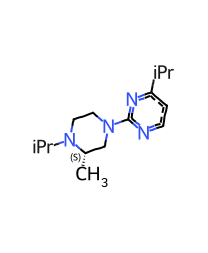 CC(C)c1ccnc(N2CCN(C(C)C)[C@@H](C)C2)n1